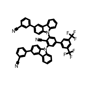 N#Cc1cccc(-c2ccc3c(c2)c2ccccc2n3-c2cc(-c3cc(C(F)(F)F)cc(C(F)(F)F)c3)cc(-n3c4ccccc4c4cc(-c5cccc(C#N)c5)ccc43)c2C#N)c1